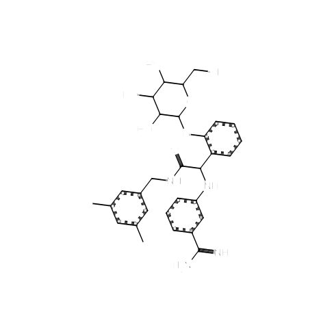 Cc1cc(C)cc(CNC(=O)C(Nc2cccc(C(=N)N)c2)c2ccccc2OC2OC(CO)C(O)C(O)C2O)c1